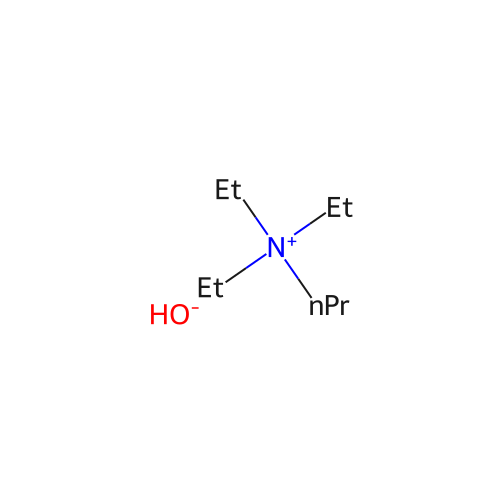 CCC[N+](CC)(CC)CC.[OH-]